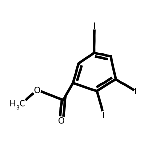 COC(=O)c1cc(I)cc(I)c1I